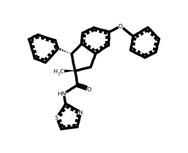 C[C@]1(C(=O)Nc2nccs2)Cc2cc(Oc3ccccc3)ccc2[C@H]1c1ccccc1